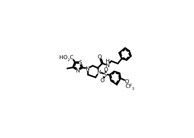 Cc1nc(N2CCN(S(=O)(=O)c3ccc(OC(F)(F)F)cc3)C(C(=O)NCCc3ccccc3)C2)sc1C(=O)O